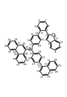 c1ccc(-c2cc3ccccc3o2)c(-c2ccc(N(c3ccc(-c4cccc5ccccc45)cc3)c3cc4ccccc4c4ccccc34)cc2)c1